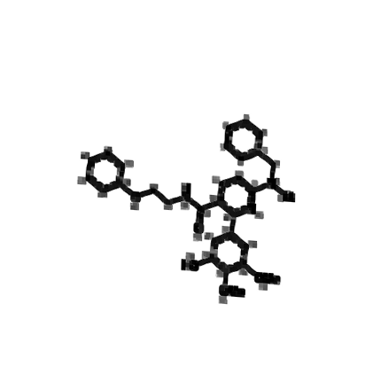 CCN(Cc1ccccc1)c1ccc(C(=O)NCCOc2ccccc2)c(-c2cc(O)c(OC)c(OC)c2)n1